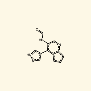 O=CNc1cnn2cccc2c1-c1cn[nH]c1